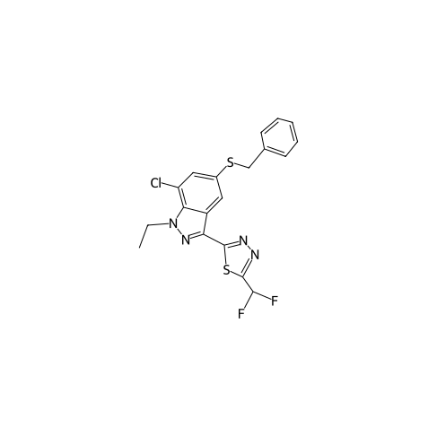 CCn1nc(-c2nnc(C(F)F)s2)c2cc(SCc3ccccc3)cc(Cl)c21